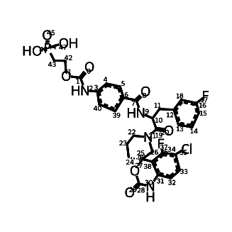 O=C(Nc1ccc(C(=O)NC(Cc2cccc(F)c2)C(=O)N2CCC[C@@]3(C2)OC(=O)Nc2ccc(Cl)c(F)c23)cc1)OCCP(=O)(O)O